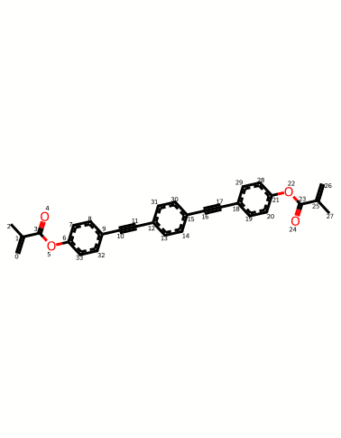 C=C(C)C(=O)Oc1ccc(C#Cc2ccc(C#Cc3ccc(OC(=O)C(=C)C)cc3)cc2)cc1